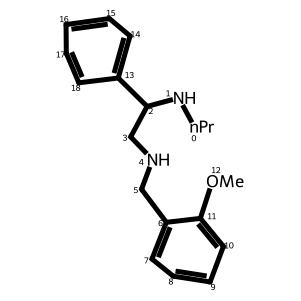 CCCNC(CNCc1ccccc1OC)c1ccccc1